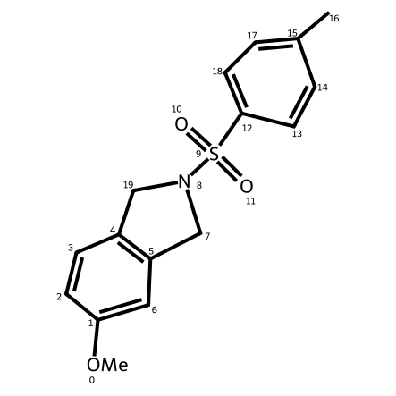 COc1ccc2c(c1)CN(S(=O)(=O)c1ccc(C)cc1)C2